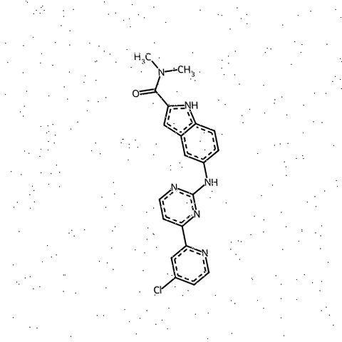 CN(C)C(=O)c1cc2cc(Nc3nccc(-c4cc(Cl)ccn4)n3)ccc2[nH]1